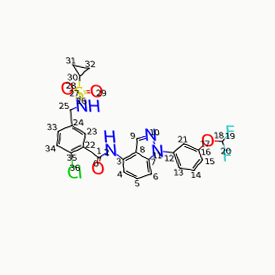 O=C(Nc1cccc2c1cnn2-c1cccc(OC(F)F)c1)c1cc(CNS(=O)(=O)C2CC2)ccc1Cl